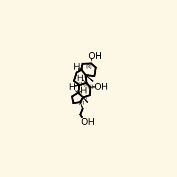 C[C@]12CC[C@@H](O)C[C@H]1CC[C@@H]1[C@@H]2[C@@H](O)C[C@]2(C)[C@@H](CCO)CC[C@@H]12